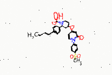 CCCCc1ccc(C2CC(Oc3ccn(-c4ccc(S(C)(=O)=O)cc4)c(=O)c3)CCN2C(=O)O)cc1